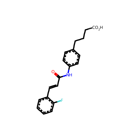 O=C(O)CCCc1ccc(NC(=O)C=Cc2ccccc2F)cc1